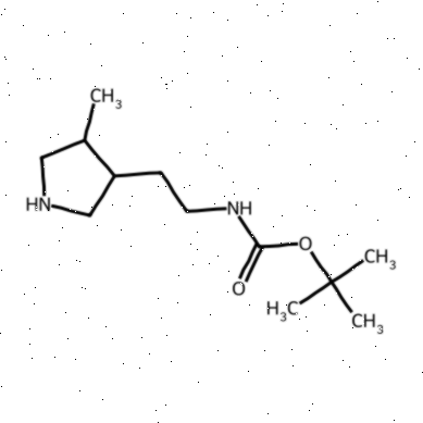 CC1CNCC1CCNC(=O)OC(C)(C)C